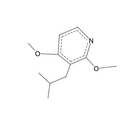 COc1ccnc(OC)c1CC(C)C